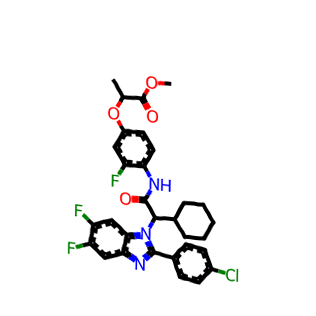 COC(=O)C(C)Oc1ccc(NC(=O)C(C2CCCCC2)n2c(-c3ccc(Cl)cc3)nc3cc(F)c(F)cc32)c(F)c1